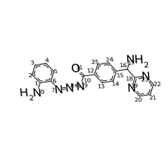 Nc1ccccc1N=[N+]=NC(=O)c1ccc(C(N)c2ncccn2)cc1